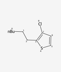 [CH2]CCCCCc1sccc1Cl